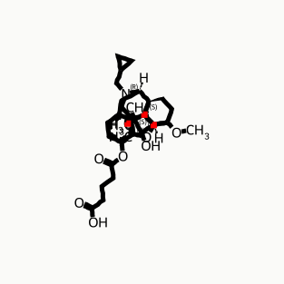 COC12CC[C@@]3(C[C@@H]1[C@](C)(O)C(C)(C)C)[C@H]1Cc4ccc(OC(=O)CCCC(=O)O)c5c4[C@@]3(CCN1CC1CC1)C2O5